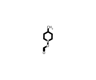 CC1CCN(OC=O)CC1